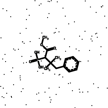 COC(=O)C(C(C)(C)Cc1ccccc1)P(=O)(O)O